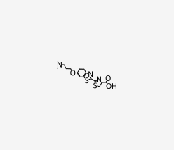 CN(C)CCCOc1ccc2nc(C3=N[C@@H](C(=O)O)CS3)sc2c1